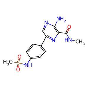 CNC(=O)c1nc(-c2ccc(NS(C)(=O)=O)cc2)cnc1N